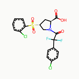 O=C(O)[C@@H]1C[C@@H](S(=O)(=O)c2ccccc2Cl)CN1C(=O)C(F)(F)c1ccc(Cl)cc1